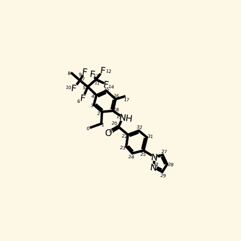 CCc1cc(C(F)(C(C)(F)F)C(F)(F)F)cc(C)c1NC(=O)c1ccc(-n2cccn2)cc1